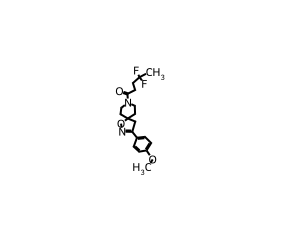 COc1ccc(C2=NOC3(CCN(C(=O)CCC(C)(F)F)CC3)C2)cc1